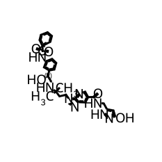 CC(C)(CCn1cnc2cc(C(=O)NCc3cc(O)n[nH]3)cnc21)NC[C@H](O)c1cccc(NS(=O)(=O)c2ccccc2)c1